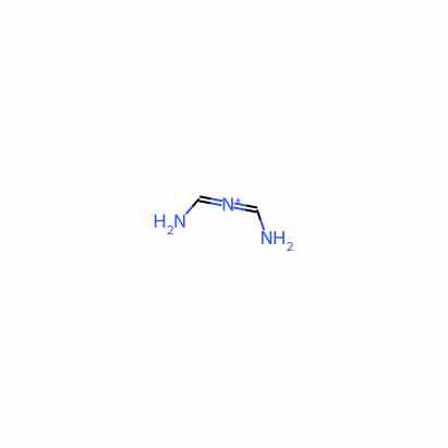 NC=[N+]=CN